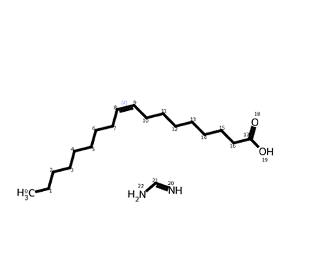 CCCCCCCC/C=C\CCCCCCCC(=O)O.N=CN